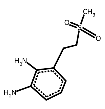 CS(=O)(=O)CCc1cccc(N)c1N